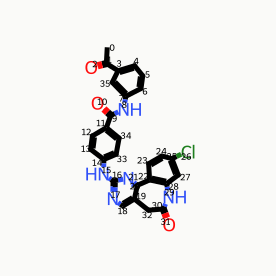 CC(=O)c1cccc(NC(=O)c2ccc(Nc3ncc4c(n3)-c3ccc(Cl)cc3NC(=O)C4)cc2)c1